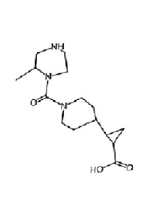 CC1CNCCN1C(=O)N1CCC(C2CC2C(=O)O)CC1